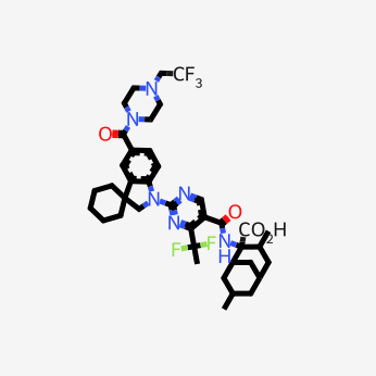 CC1CC2CC(C)C(NC(=O)c3cnc(N4CC5(CCCCC5)c5cc(C(=O)N6CCN(CC(F)(F)F)CC6)ccc54)nc3C(C)(F)F)(C(=O)O)C(C1)C2